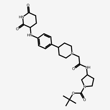 CC(C)(C)OC(=O)N1CCC(NC(=O)CN2CCC(c3ccc(NC4CCC(=O)NC4=O)cc3)CC2)C1